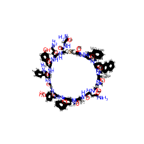 CCCC[C@H]1C(=O)N(C)CC(=O)N[C@@H](CC(N)=O)C(=O)N[C@@H](C(C)C)C(=O)N(C)[C@@H](Cc2ccccc2)C(=O)N[C@@H](Cc2ccc(O)cc2)C(=O)N(C)CC(=O)N[C@@H](Cc2c[nH]c3ccccc23)C(=O)N[C@@H](Cc2ccc(O)cc2)C(=O)N[C@@H](CCCN)C(=O)N[C@H](C(=O)NCC(N)=O)CSCC(=O)N[C@@H](Cc2ccccc2)C(=O)N(C)C(Cc2ccc3ccccc3c2)C(=O)N1C